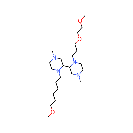 COCCCCCCN1CCN(C)CC1C1CN(C)CCN1CCCOCCOC